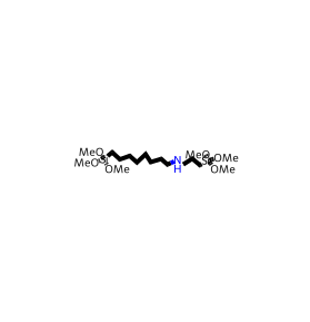 CO[Si](CCCCCCCCNCCC[Si](OC)(OC)OC)(OC)OC